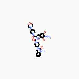 Nc1c(Br)cc(C[C@@H](NC(=O)N2CCC(N3Cc4ccccc4NC3=O)CC2)C(=O)N2CCC(N3CCOCC3)CC2)cc1Br